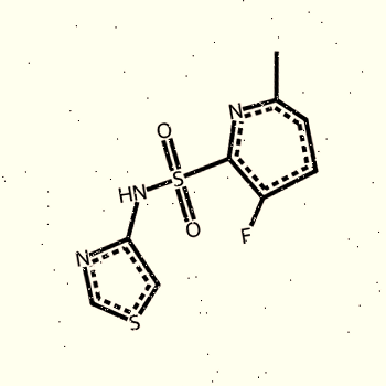 Cc1ccc(F)c(S(=O)(=O)Nc2cscn2)n1